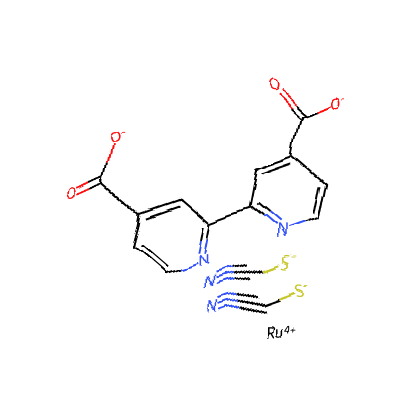 N#C[S-].N#C[S-].O=C([O-])c1ccnc(-c2cc(C(=O)[O-])ccn2)c1.[Ru+4]